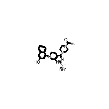 CCCNc1nc2c(c(N3CCN(C(=O)CC)CC3)n1)CCN(c1cc(O)cc3ccccc13)C2